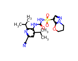 CC(C)c1cc(C#N)nc(C(C)C)c1NC(=O)NS(=O)(=O)c1cnn2c1OCCC2